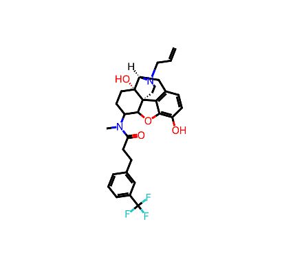 C=CCN1CC[C@]23c4c5ccc(O)c4OC2C(N(C)C(=O)CCc2cccc(C(F)(F)F)c2)CC[C@@]3(O)[C@H]1C5